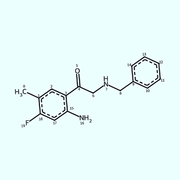 Cc1cc(C(=O)CNCc2ccccc2)c(N)cc1F